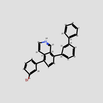 Brc1cccc(-c2ccc(-c3cccc(-c4ccccc4)c3)c3cnccc23)c1